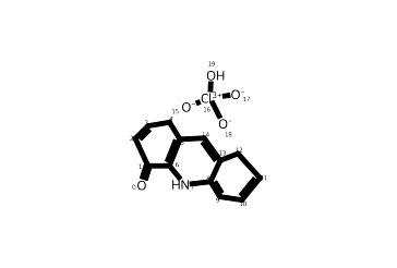 O=C1C=CCC2=C1NC1=CC=CCC1=C2.[O-][Cl+3]([O-])([O-])O